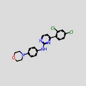 Clc1ccc(-c2ccnc(Nc3ccc(N4CCOCC4)cc3)n2)c(Cl)c1